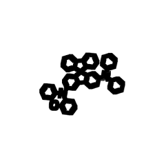 c1ccc(N(c2ccccc2)c2ccc3c(c2)C2(c4ccccc4-c4ccccc42)c2ccc(N4c5ccccc5Oc5ccccc54)cc2-3)cc1